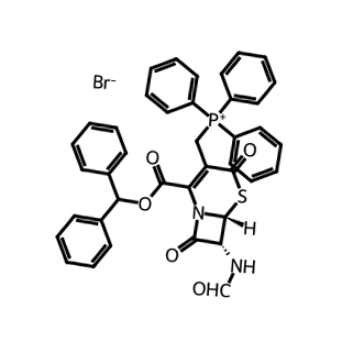 O=CN[C@@H]1C(=O)N2C(C(=O)OC(c3ccccc3)c3ccccc3)=C(C[P+](c3ccccc3)(c3ccccc3)c3ccccc3)C(=O)S[C@H]12.[Br-]